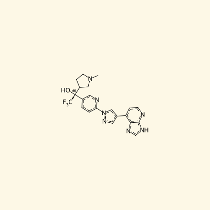 CN1CCC([C@@](O)(c2ccc(-n3cc(-c4ccnc5[nH]cnc45)cn3)nc2)C(F)(F)F)C1